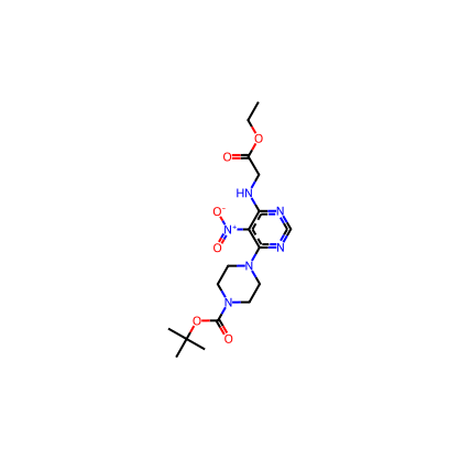 CCOC(=O)CNc1ncnc(N2CCN(C(=O)OC(C)(C)C)CC2)c1[N+](=O)[O-]